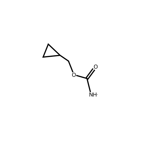 [NH]C(=O)OCC1CC1